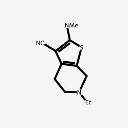 CCN1CCc2c(sc(NC)c2C#N)C1